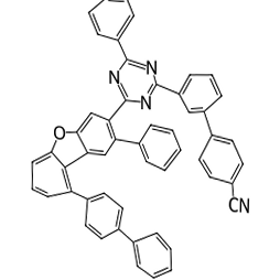 N#Cc1ccc(-c2cccc(-c3nc(-c4ccccc4)nc(-c4cc5oc6cccc(-c7ccc(-c8ccccc8)cc7)c6c5cc4-c4ccccc4)n3)c2)cc1